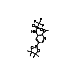 COc1ncc(B2OC(C)(C)C(C)(C)O2)cc1NS(=O)(=O)C(F)(F)F